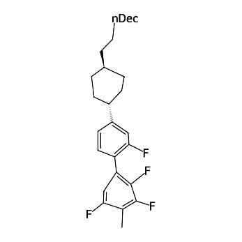 CCCCCCCCCCCC[C@H]1CC[C@H](c2ccc(-c3cc(F)c(C)c(F)c3F)c(F)c2)CC1